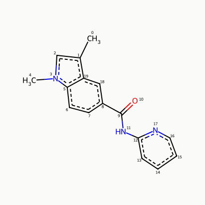 Cc1cn(C)c2ccc(C(=O)Nc3ccccn3)cc12